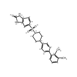 Cc1cccc(-c2ncc(C3CCN(S(=O)(=O)c4ccc5[nH]c(=O)[nH]c5c4)CC3)cn2)c1C